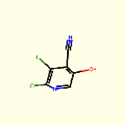 N#Cc1c(O)cnc(Cl)c1F